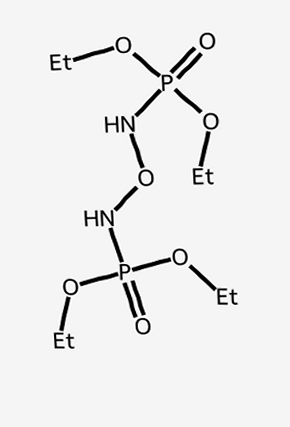 CCOP(=O)(NONP(=O)(OCC)OCC)OCC